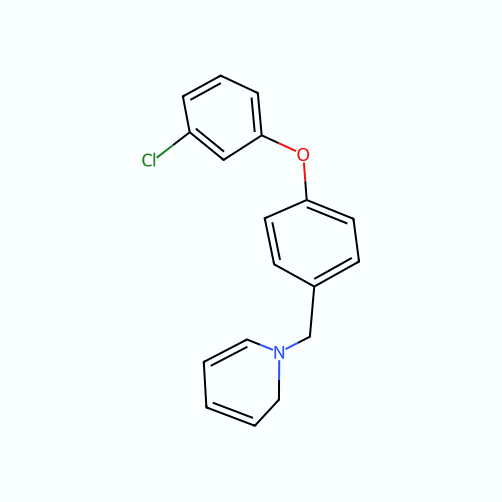 Clc1cccc(Oc2ccc(CN3C=CC=CC3)cc2)c1